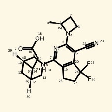 C[C@H]1CCN1c1nc(N2C[C@H]3C[C@@H](C2)[C@@H]3CC(=O)O)c2c(c1C#N)C(F)(F)CC2